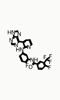 O=C(Nc1cc(Nc2ncccc2-c2ncnc3[nH]cnc23)ccc1F)c1ccc(F)c(C(F)(F)F)c1